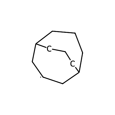 [CH]1CC2CCCC(C1)CCC2